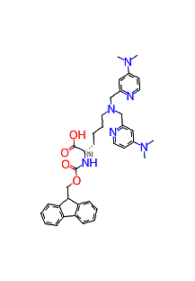 CN(C)c1ccnc(CN(CCCC[C@H](NC(=O)OCC2c3ccccc3-c3ccccc32)C(=O)O)Cc2cc(N(C)C)ccn2)c1